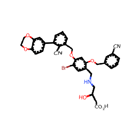 N#Cc1cccc(COc2cc(OCc3cccc(-c4ccc5c(c4)OCCO5)c3C#N)c(Br)cc2CNCC(O)CC(=O)O)c1